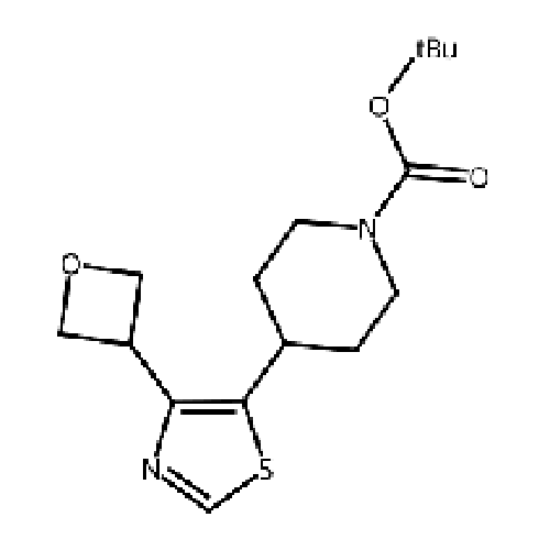 CC(C)(C)OC(=O)N1CCC(c2scnc2C2COC2)CC1